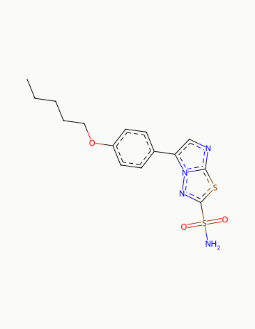 CCCCCOc1ccc(-c2cnc3sc(S(N)(=O)=O)nn23)cc1